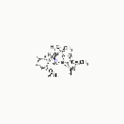 COc1ccccc1/N=N/c1c(C(C)(C)C)nn2c(C)n[nH]c12